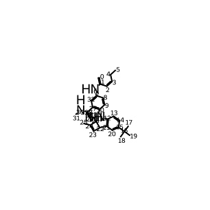 C=C(/C=C\CC)Nc1ccc(N2c3ccc(C(C)(C)C)cc3C3C=C(C)[C@@H]32)c(C(=N)NC)c1